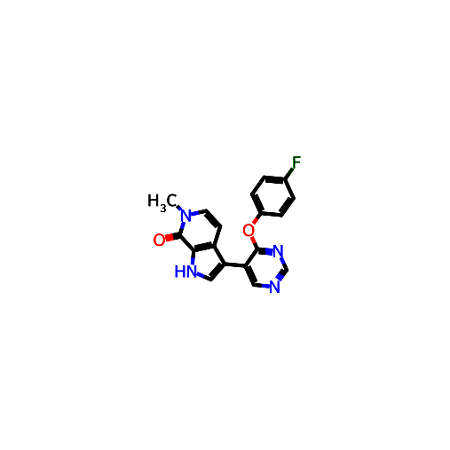 Cn1ccc2c(-c3cncnc3Oc3ccc(F)cc3)c[nH]c2c1=O